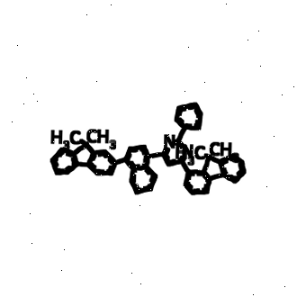 CC1(C)c2ccccc2-c2ccc(-c3ccc(-c4cc(-c5cccc6c5C(C)(C)c5ccccc5-6)nc(-c5ccccc5)n4)c4ccccc34)cc21